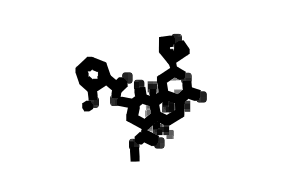 COC(=O)[C@@H]1C=C(OC(=O)c2ccccc2OC)C(=O)[C@H]2[C@@]1(N)CC[C@H]1C(=O)O[C@H](c3ccoc3)C[C@]21N